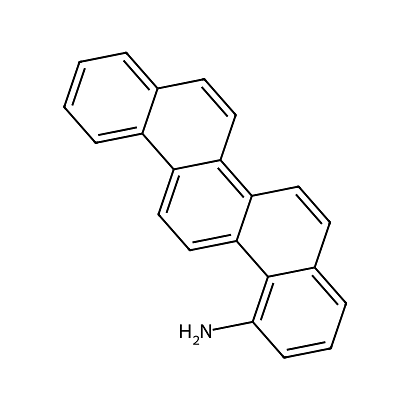 Nc1cccc2ccc3c4ccc5ccccc5c4ccc3c12